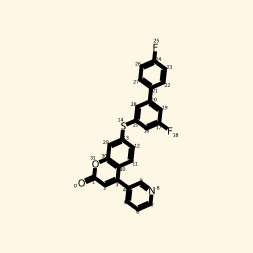 O=c1cc(-c2cccnc2)c2ccc(Sc3cc(F)cc(-c4ccc(F)cc4)c3)cc2o1